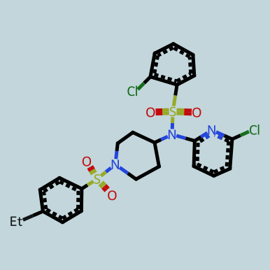 CCc1ccc(S(=O)(=O)N2CCC(N(c3cccc(Cl)n3)S(=O)(=O)c3ccccc3Cl)CC2)cc1